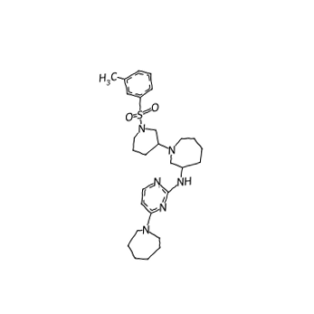 Cc1cccc(S(=O)(=O)N2CCCC(N3CCCCC(Nc4nccc(N5CCCCCC5)n4)C3)C2)c1